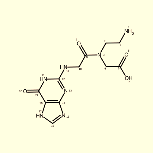 NCCN(CC(=O)O)C(=O)CNc1nc2nc[nH]c2c(=O)[nH]1